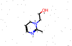 CC1=NC=CCN1CCO